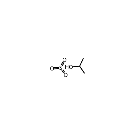 CC(C)O.O=S(=O)=O